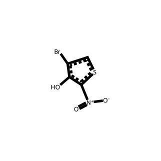 O=[N+]([O-])c1scc(Br)c1O